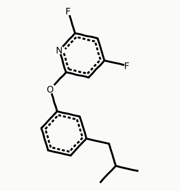 CC(C)Cc1cccc(Oc2cc(F)cc(F)n2)c1